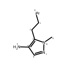 CC(C)CCc1c(N)cnn1C